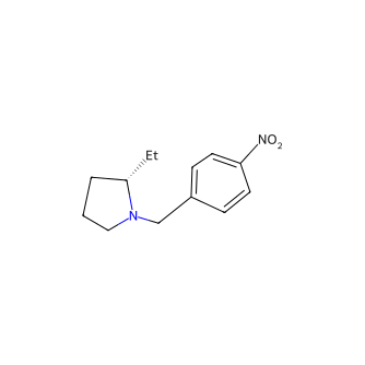 CC[C@H]1CCCN1Cc1ccc([N+](=O)[O-])cc1